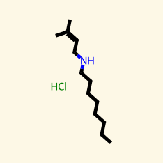 CCCCCCCCNCC=C(C)C.Cl